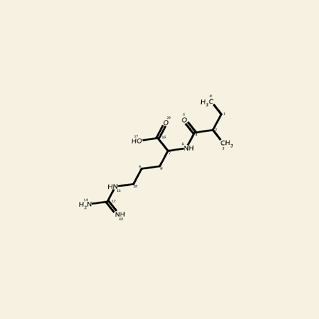 CCC(C)C(=O)NC(CCCNC(=N)N)C(=O)O